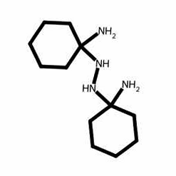 NC1(NNC2(N)CCCCC2)CCCCC1